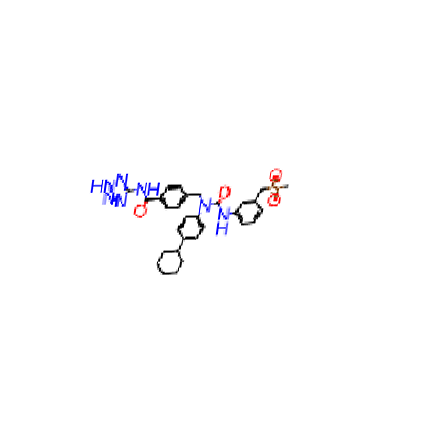 CS(=O)(=O)Cc1cccc(NC(=O)N(Cc2ccc(C(=O)Nc3nn[nH]n3)cc2)c2ccc(C3CCCCC3)cc2)c1